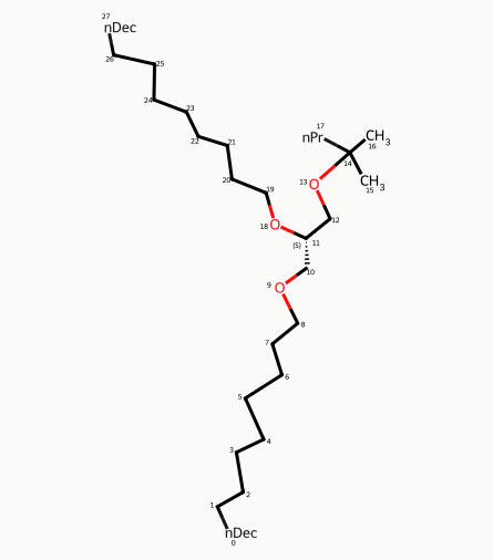 CCCCCCCCCCCCCCCCCCOC[C@@H](COC(C)(C)CCC)OCCCCCCCCCCCCCCCCCC